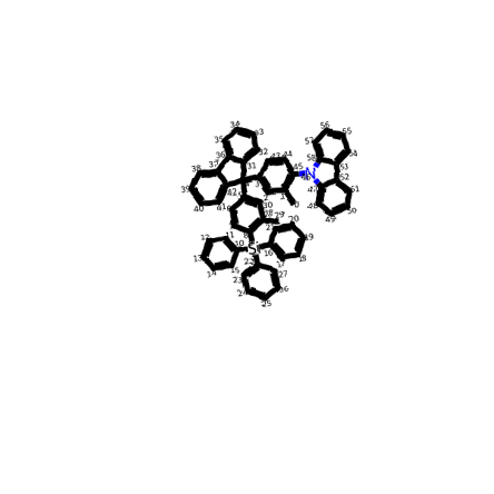 Cc1cc(C2(c3ccc([Si](c4ccccc4)(c4ccccc4)c4ccccc4)c(C)c3)c3ccccc3-c3ccccc32)ccc1-n1c2ccccc2c2ccccc21